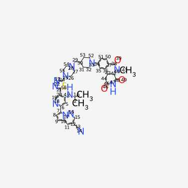 CC(C)Nc1cc(-c2ccc3cc(C#N)cnn23)ncc1-c1nnc(N2CCN(CC3CCN(c4ccc(C(=O)N(C)C5CCC(=O)NC5=O)cc4)CC3)CC2)s1